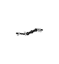 C=CC(=O)OCCCCCC(=O)Oc1ccc(C(C)(C)c2ccc(C(C)(C)c3ccc(OC(=O)OC(=O)C=C)cc3)cc2)cc1